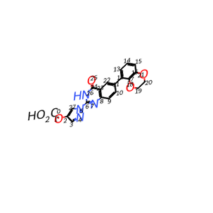 O=C(O)Oc1cnn(-c2nc3ccc(-c4cccc5c4OCCO5)cc3c(=O)[nH]2)c1